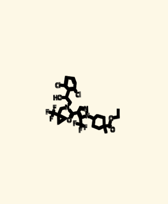 CCOC(=O)C1(C)CCC(n2ncc(C(=O)N(CC(O)c3c(Cl)cccc3Cl)CC3(C(F)(F)F)CC3)c2C(F)(F)F)CC1